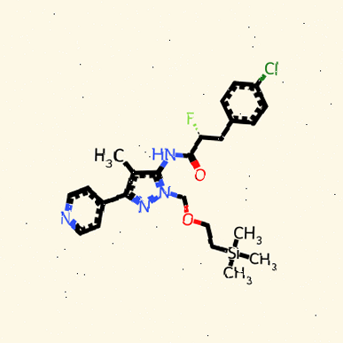 Cc1c(-c2ccncc2)nn(COCC[Si](C)(C)C)c1NC(=O)[C@H](F)Cc1ccc(Cl)cc1